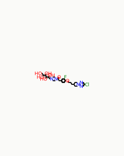 O=C(Cc1ccc(OCCCC2CCN(c3ncc(Cl)cn3)CC2)c(F)c1)N1CCN(C[C@H](O)[C@@H](O)[C@H](O)[C@H](O)CO)CC1